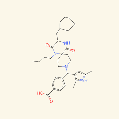 CCCCN1C(=O)C(CC2CCCCC2)NC(=O)C12CCN(C(c1ccc(C(=O)O)cc1)c1cc(C)[nH]c1C)CC2